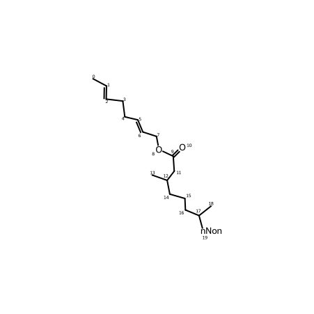 CC=CCCC=CCOC(=O)CC(C)CCCC(C)CCCCCCCCC